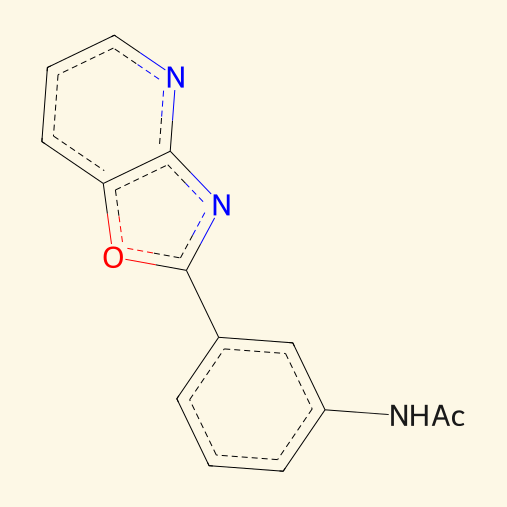 CC(=O)Nc1cccc(-c2nc3ncccc3o2)c1